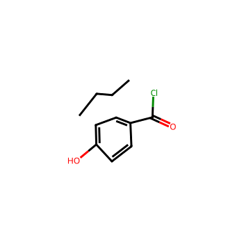 CCCC.O=C(Cl)c1ccc(O)cc1